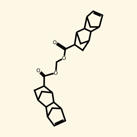 O=C(OCOC(=O)C1CC2CC1C1C3C=CC(C3)C21)C1CC2CC1C1C3C=CC(C3)C21